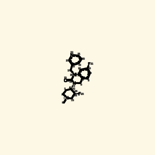 CN1CC[C@H](N(Cc2ccc(F)cc2)C(=O)NCc2cccnc2)[C@H](F)C1